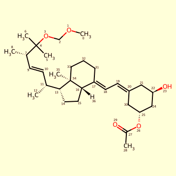 COCOC(C)(C)[C@@H](C)/C=C/[C@@H](C)[C@H]1CC[C@H]2/C(=C/C=C3/C[C@@H](O)C[C@H](OC(C)=O)C3)CCC[C@]12C